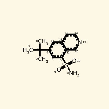 CC(C)(C)c1cc(S(N)(=O)=O)c2cnccc2c1